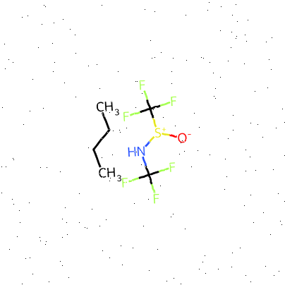 CCCC.[O-][S+](NC(F)(F)F)C(F)(F)F